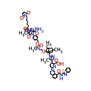 Cc1c(-c2ccc(N3CCc4cccc(C(=O)Nc5nc6ccccc6s5)c4C3)nc2C(=O)O)cnn1CC12CC3(C)CC(C)(C1)CC(OCCN(C)C(=O)OCc1ccc(N(C(=O)[C@H](C)NC(=O)CCCCCN4C(=O)C=CC4=O)[C@@H](C)C(N)=O)cc1)(C3)C2